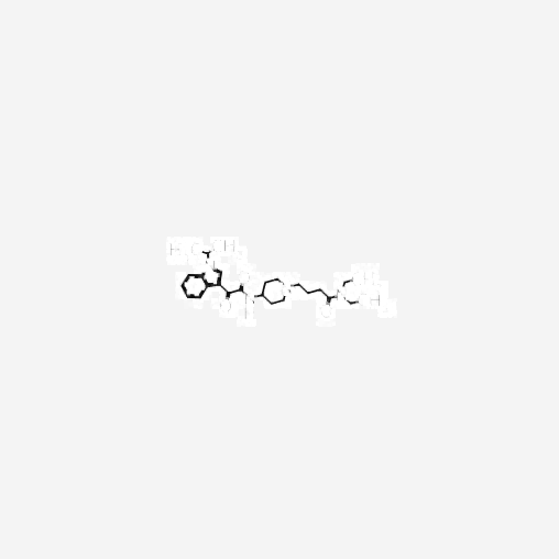 CCN(CC)C(=O)CCCN1CCC(NC(=O)C(=O)c2cn(C(C)C)c3ccccc23)CC1